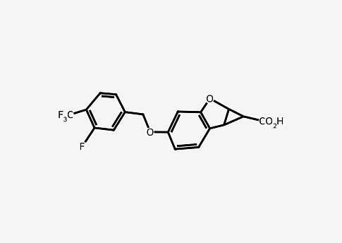 O=C(O)C1C2Oc3cc(OCc4ccc(C(F)(F)F)c(F)c4)ccc3C21